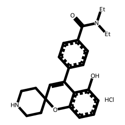 CCN(CC)C(=O)c1ccc(C2=CC3(CCNCC3)Oc3cccc(O)c32)cc1.Cl